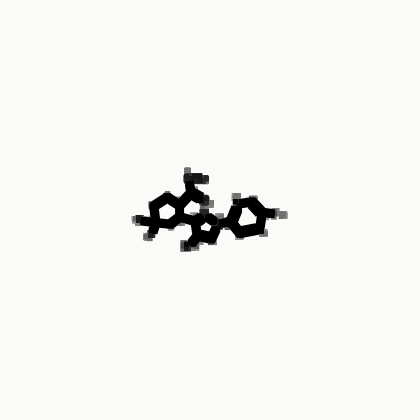 COC(=O)C1CCC(F)(F)CC1c1nn(-c2ccc(F)cn2)cc1Br